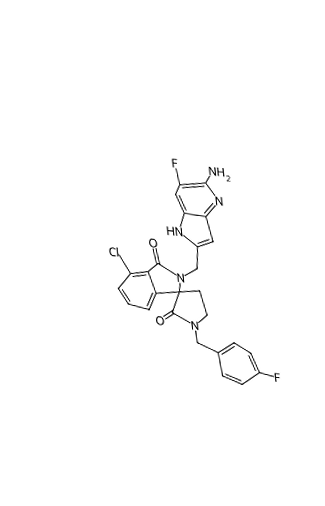 Nc1nc2cc(CN3C(=O)c4c(Cl)cccc4C34CCN(Cc3ccc(F)cc3)C4=O)[nH]c2cc1F